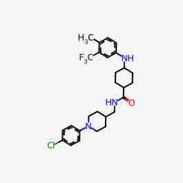 Cc1ccc(NC2CCC(C(=O)NCC3CCN(c4ccc(Cl)cc4)CC3)CC2)cc1C(F)(F)F